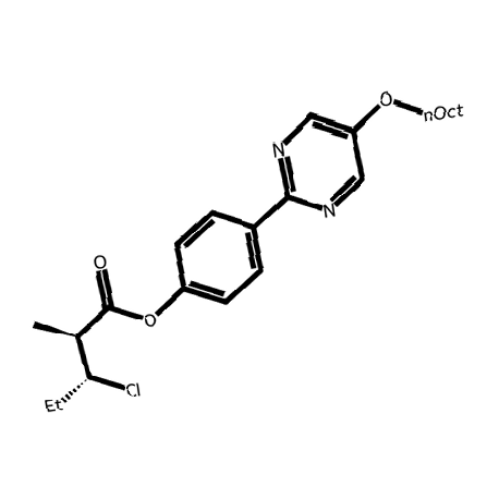 CCCCCCCCOc1cnc(-c2ccc(OC(=O)[C@H](C)[C@H](Cl)CC)cc2)nc1